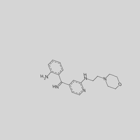 N=C(c1ccnc(NCCN2CCOCC2)c1)c1ccccc1N